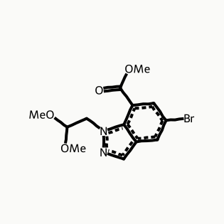 COC(=O)c1cc(Br)cc2cnn(CC(OC)OC)c12